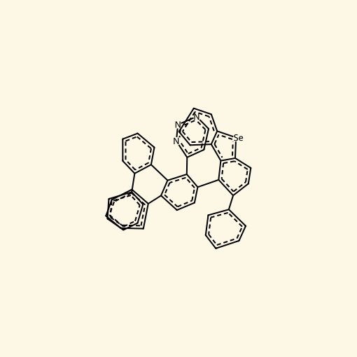 c1ccc(-c2ccccc2-c2c(-c3ccccc3)ccc(-c3c(-c4ccccc4)ccc4[se]c5ccccc5c34)c2-c2ccnnn2)cc1